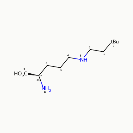 CC(C)(C)CCNCCC[C@@H](N)C(=O)O